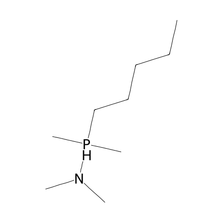 CCCCC[PH](C)(C)N(C)C